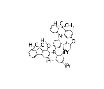 CC(C)c1cc(C(C)C)c(B2c3ccc(N4c5ccccc5C(C)(C)c5ccc6oc7ccccc7c6c54)cc3Oc3c2ccc2c3C(C)(C)c3ccccc3-2)c(C(C)C)c1